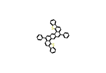 c1ccc(-c2cc3cc4c(cc(-c5ccccc5)c5ccc6c7ccccc7sc6c54)cc3c3c2ccc2c4ccccc4sc23)cc1